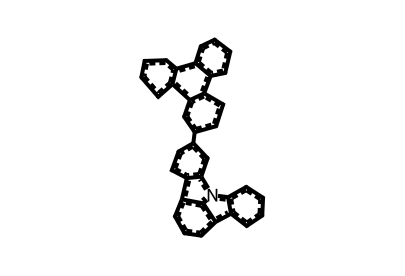 c1ccc2c(c1)c1ccccc1c1cc(-c3ccc4c5cccc6c7ccccc7n(c4c3)c65)ccc21